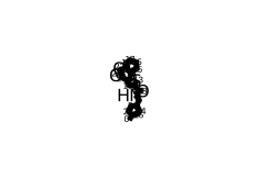 Cc1ccc(CNC(=O)c2cc3c(s2)-c2ccccc2S(=O)(=O)C3)cc1